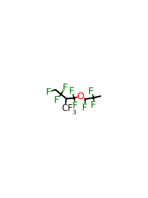 CC(F)(F)C(F)OC(F)(F)C(C(F)(F)F)C(F)(F)CF